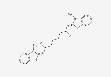 CN1/C(=C/C(=O)CCCCC(=O)/C=C2/Sc3ccccc3N2C)Sc2ccccc21